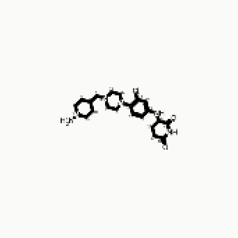 NN1CCC(CN2CCN(c3ccc(NC4CCC(=O)NC4=O)cc3Cl)CC2)CC1